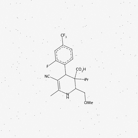 COCC1NC(C)=C(C#N)C(c2ccc(C(F)(F)F)cc2F)C1(C(=O)O)C(C)C